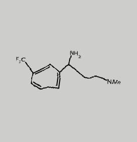 CNCCC(N)c1cccc(C(F)(F)F)c1